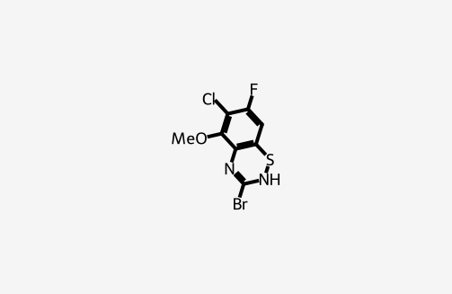 COc1c(Cl)c(F)cc2c1N=C(Br)NS2